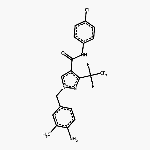 Cc1cc(Cn2cc(C(=O)Nc3ccc(Cl)cc3)c(C(F)(F)C(F)(F)F)n2)ccc1N